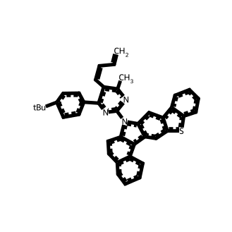 C=C/C=C\c1c(C)nc(-n2c3cc4c(cc3c3c5ccccc5ccc32)sc2ccccc24)nc1-c1ccc(C(C)(C)C)cc1